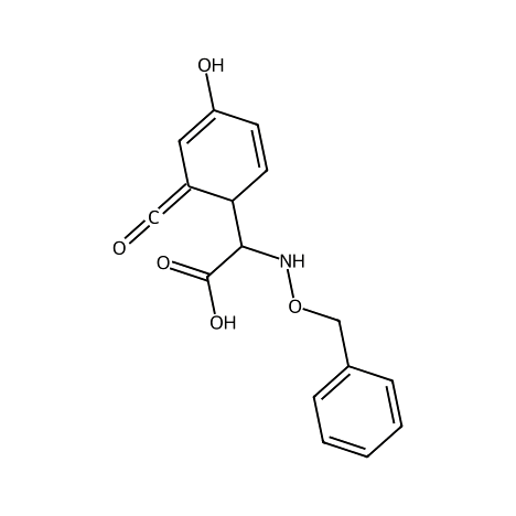 O=C=C1C=C(O)C=CC1C(NOCc1ccccc1)C(=O)O